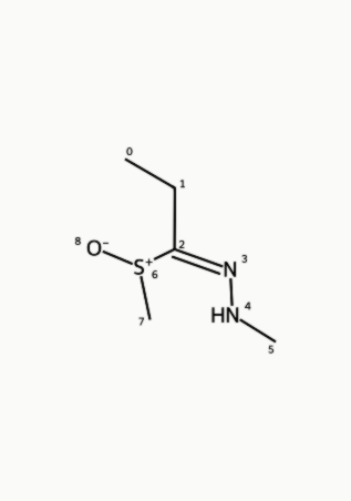 CCC(=NNC)[S+](C)[O-]